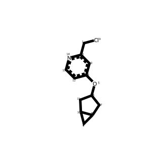 ClCc1cc(OC2CC3CC3C2)ccn1